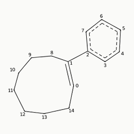 C1=C(c2ccccc2)CCCCCCC1